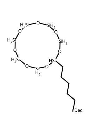 CCCCCCCCCCCCCCC[SiH]1O[SiH2]O[SiH2]O[SiH2]O[SiH2]O[SiH2]O[SiH2]O1